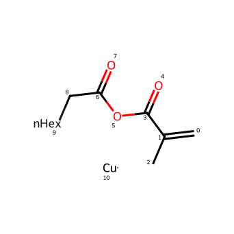 C=C(C)C(=O)OC(=O)CCCCCCC.[Cu]